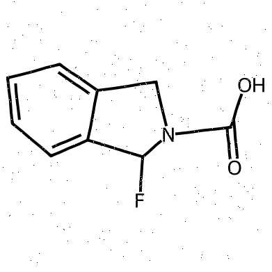 O=C(O)N1Cc2ccccc2C1F